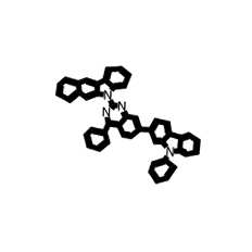 c1ccc(-c2nc(-n3c4ccccc4c4cc5ccccc5cc43)nc3cc(-c4ccc5c6ccccc6n(-c6ccccc6)c5c4)ccc23)cc1